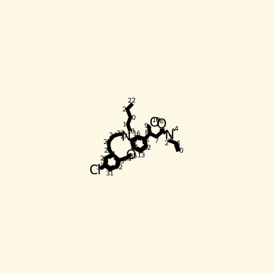 C=CCN(C)C(=O)CC(C=O)c1ccc2c(c1)N(CCCCC)CCCCc1cc(Cl)ccc1CO2